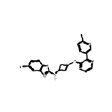 Cc1ccc(-c2nccnc2OC2CC(Nc3nc4cc(F)ccc4s3)C2)cn1